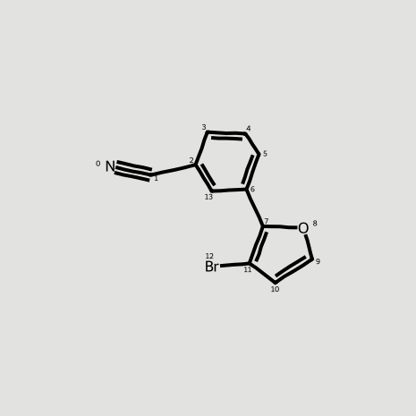 N#Cc1cccc(-c2occc2Br)c1